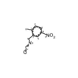 Cc1ccc([N+](=O)[O-])cc1CN=C=O